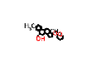 Cc1ccc2c(c1)[C@H](CO)CC1C2CC[C@@]2(C)C1CC[C@@H]2OC1CCCCO1